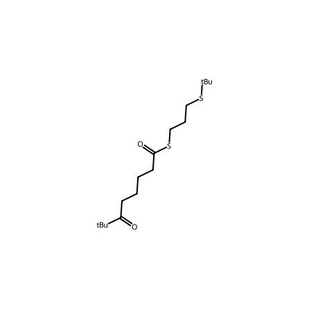 CC(C)(C)SCCCSC(=O)CCCCC(=O)C(C)(C)C